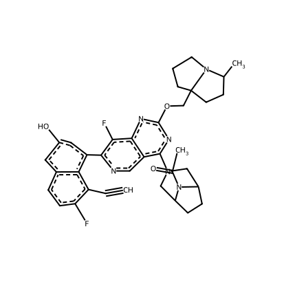 C#Cc1c(F)ccc2cc(O)cc(-c3ncc4c(N5CC6CCC(C5)N6C(C)=O)nc(OCC56CCCN5C(C)CC6)nc4c3F)c12